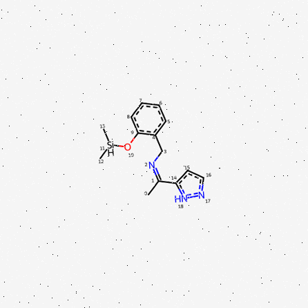 CC(=NCc1ccccc1O[SiH](C)C)c1ccn[nH]1